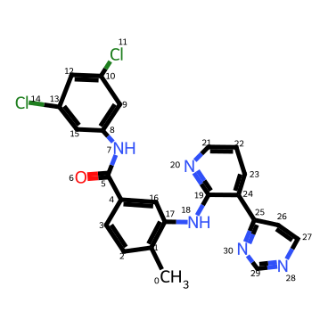 Cc1ccc(C(=O)Nc2cc(Cl)cc(Cl)c2)cc1Nc1ncccc1-c1ccncn1